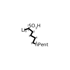 [Li][CH](CCCCCCCCC)S(=O)(=O)O